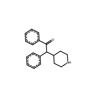 O=C(c1ccccc1)C(c1ccccc1)C1CCNCC1